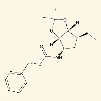 CC[C@H]1C[C@@H](NC(=O)OCc2ccccc2)[C@@H]2OC(C)(C)O[C@H]12